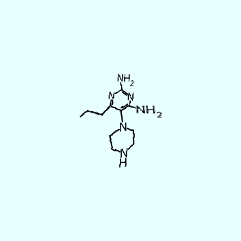 CCCc1nc(N)nc(N)c1N1CCNCC1